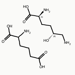 NC(CCCC(=O)O)C(=O)O.NC[C@H](O)CC[C@H](N)C(=O)O